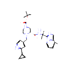 Cc1cccn2c(C(C)(C)NC(=O)[C@@H]3CN(C(=O)OC(C)(C)C)CCN3Cc3ccnc(C4CC4)c3)ncc12